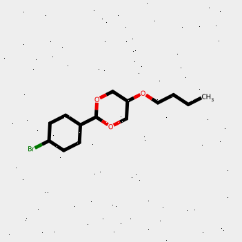 CCCCOC1COC(C2CCC(Br)CC2)OC1